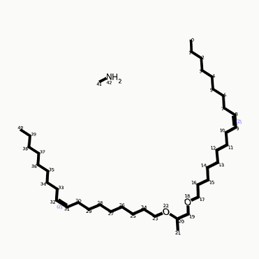 CCCCCCCC/C=C\CCCCCCCCOCC(C)OCCCCCCCC/C=C\CCCCCCCC.CN